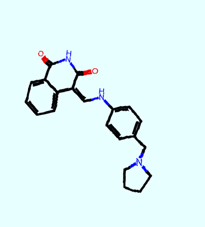 O=C1NC(=O)c2ccccc2C1=CNc1ccc(CN2CCCC2)cc1